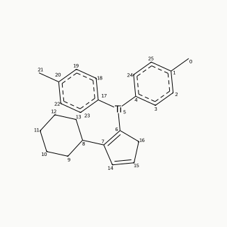 Cc1cc[c]([Ti]([C]2=C(C3CCCCC3)C=CC2)[c]2ccc(C)cc2)cc1